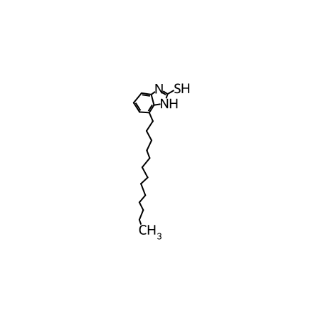 CCCCCCCCCCCCCc1cccc2nc(S)[nH]c12